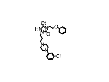 CCC1NN(CCCN2CCN(c3cccc(Cl)c3)CC2)C(=O)N1CCOc1ccccc1